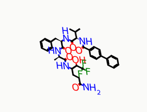 CC(C)[C@H](NC(=O)c1ccc(-c2ccccc2)cc1)C(=O)N[C@H](Cc1ccccc1)C(=O)N[C@H](C)C(=O)NC(CCC(N)=O)C(O)C(F)(F)F